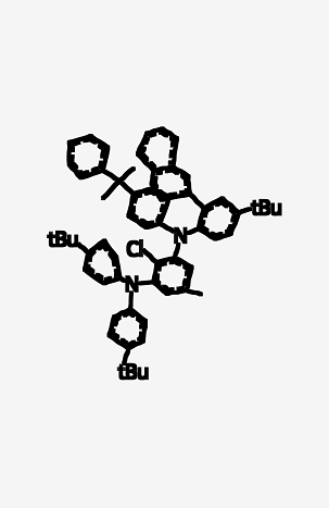 Cc1cc(N(c2ccc(C(C)(C)C)cc2)c2ccc(C(C)(C)C)cc2)c(Cl)c(N(c2ccc(C(C)(C)c3ccccc3)cc2)c2ccc(C(C)(C)C)cc2-c2ccc3ccccc3c2)c1